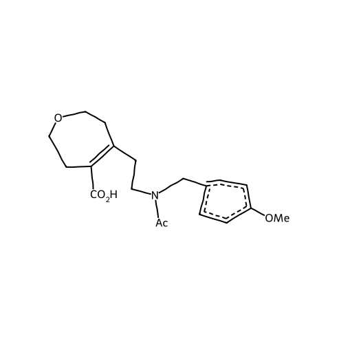 COc1ccc(CN(CCC2=C(C(=O)O)CCOCC2)C(C)=O)cc1